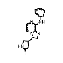 CN1C=C(c2cnc3c(Nc4ccccc4)nccn23)CN1